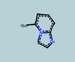 CC(C)(C)c1cccc2nccn12